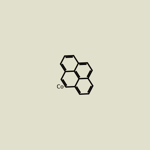 [Co].c1cc2ccc3cccc4ccc(c1)c2c34